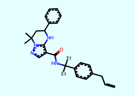 C=CCc1ccc(C(CC)(CC)NC(=O)c2cnn3c2NC(c2ccccc2)CC3(C)C)cc1